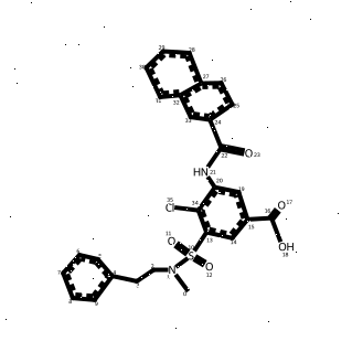 CN(CCc1ccccc1)S(=O)(=O)c1cc(C(=O)O)cc(NC(=O)c2ccc3ccccc3c2)c1Cl